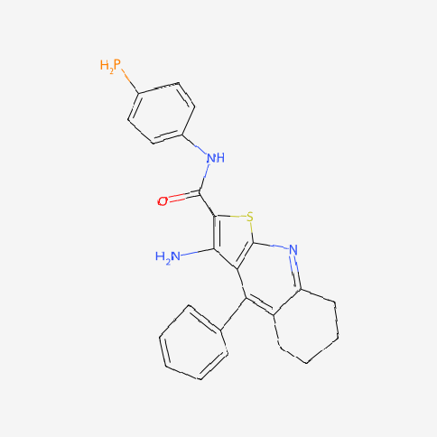 Nc1c(C(=O)Nc2ccc(P)cc2)sc2nc3c(c(-c4ccccc4)c12)CCCC3